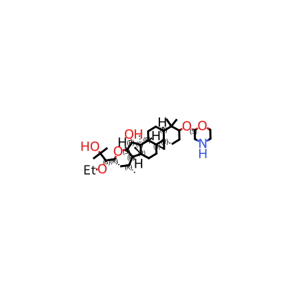 CCO[C@@H]([C@H]1C[C@@H](C)[C@H]2[C@H](O1)[C@H](O)[C@@]1(C)[C@@H]3CC[C@H]4C(C)(C)C(O[C@H]5CNCCO5)CC[C@@]45C[C@@]35CC[C@]21C)C(C)(C)O